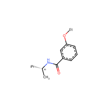 CCOc1cccc(C(=O)N[C@H](C)C(C)C)c1